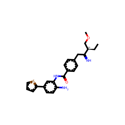 CC[C@H](COC)C(=N)Cc1ccc(C(=O)Nc2cc(-c3cccs3)ccc2N)cc1